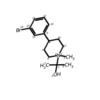 CC(C)(O)[N+]1(C)CCC(c2cccc(Br)c2)CC1